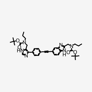 CCCN(Cc1nc2cc(C#Cc3ccc(-c4nc[nH]c4CN(CCC)C(=O)OC(C)(C)C)cc3)ccc2[nH]1)C(=O)OC(C)(C)C